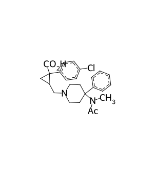 CC(=O)N(C)C1(c2ccccc2)CCN(CC2CC2(C(=O)O)c2ccc(Cl)cc2)CC1